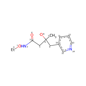 CCONC(=O)CC(C)([O])Cc1cccnc1